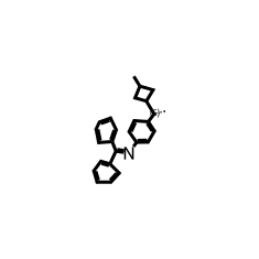 CC1CC([C@H](C)c2ccc(N=C(c3ccccc3)c3ccccc3)cc2)C1